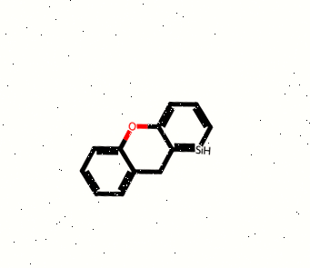 c1ccc2c(c1)Cc1[siH]cccc1O2